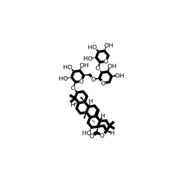 CC1(C)C[C@H]2C3=CC[C@@H]4[C@@]5(C)CC[C@H](O[C@@H]6O[C@H](CO[C@@H]7OC[C@H](O)[C@H](O)[C@H]7O[C@@H]7OC[C@@H](O)[C@H](O)[C@H]7O)[C@@H](O)[C@H](O)[C@H]6O)C(C)(C)[C@@H]5CC[C@@]4(C)[C@]3(C)C[C@@H](O)[C@@]23C[C@H]1OC3=O